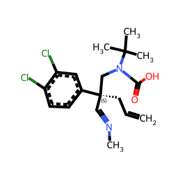 C=CC[C@@](C=NC)(CN(C(=O)O)C(C)(C)C)c1ccc(Cl)c(Cl)c1